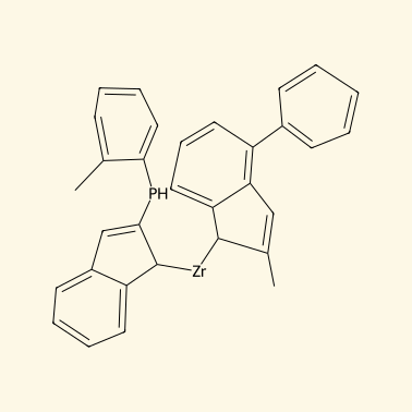 CC1=Cc2c(-c3ccccc3)cccc2[CH]1[Zr][CH]1C(Pc2ccccc2C)=Cc2ccccc21